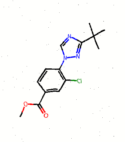 COC(=O)c1ccc(-n2cnc(C(C)(C)C)n2)c(Cl)c1